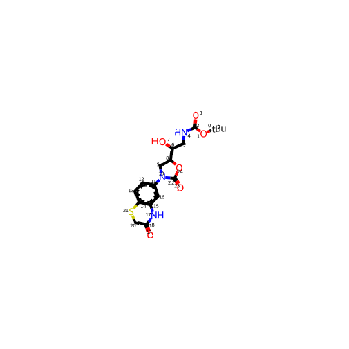 CC(C)(C)OC(=O)NCC(O)C1CN(c2ccc3c(c2)NC(=O)CS3)C(=O)O1